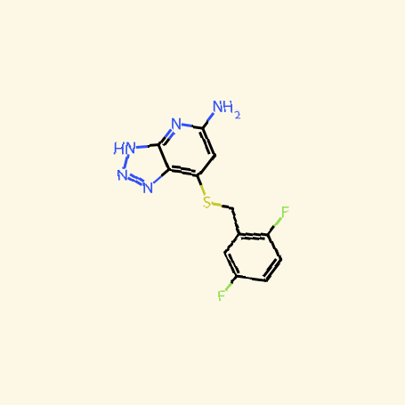 Nc1cc(SCc2cc(F)ccc2F)c2nn[nH]c2n1